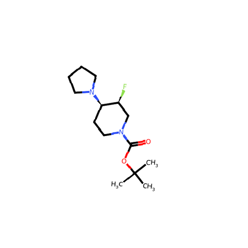 CC(C)(C)OC(=O)N1CC[C@@H](N2CCCC2)[C@@H](F)C1